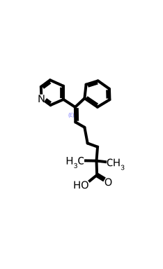 CC(C)(CCC/C=C(\c1ccccc1)c1cccnc1)C(=O)O